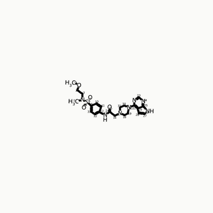 COCCN(C)S(=O)(=O)c1ccc(NC(=O)CN2CCN(c3ncnc4[nH]ccc34)CC2)cc1